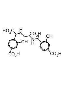 O=C(O)c1ccc(C(NCCNC(C(=O)O)c2ccc(C(=O)O)cc2O)C(=O)O)c(O)c1